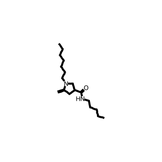 C=C1CC(C(=O)NCCCCC)CN1CCCCCCC